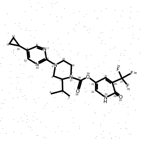 CC(C)C1CN(c2ncc(C3CC3)cn2)CCN1C(=O)Oc1c[nH]c(=O)c(C(F)(F)F)c1